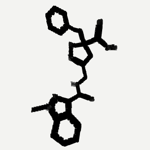 COC(=O)C1(Cc2ccccc2)CC(CNC(=O)c2nn(C)c3ccccc23)=NO1